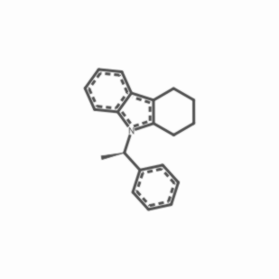 C[C@H](c1ccccc1)n1c2c(c3ccccc31)CCCC2